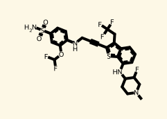 CN1CCC(Nc2cccc3c(CC(F)(F)F)c(C#CCNc4ccc(S(N)(=O)=O)cc4OC(F)F)sc23)C(F)C1